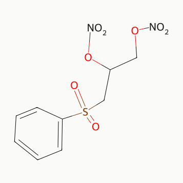 O=[N+]([O-])OCC(CS(=O)(=O)c1ccccc1)O[N+](=O)[O-]